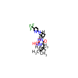 CC(C)(C)CC(C)(C)CC(NC(=O)O)C(=O)N[C@H]1CC[C@@H]2CN(c3ccc(C(F)(F)F)cn3)C[C@@H]21